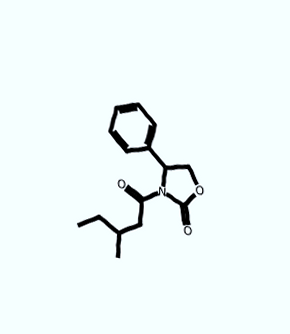 CCC(C)CC(=O)N1C(=O)OCC1c1ccccc1